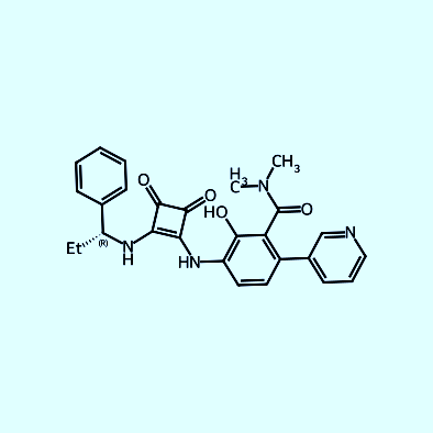 CC[C@@H](Nc1c(Nc2ccc(-c3cccnc3)c(C(=O)N(C)C)c2O)c(=O)c1=O)c1ccccc1